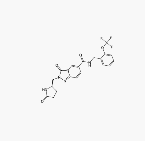 O=C1CC[C@H](Cn2nc3ccc(C(=O)NCc4ccccc4OC(F)(F)F)cn3c2=O)N1